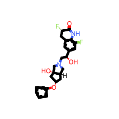 O=C1Nc2c(F)cc([C@@H](O)CN3C[C@H]4C[C@H](Oc5ccccc5)C[C@@]4(O)C3)cc2C[C@@H]1F